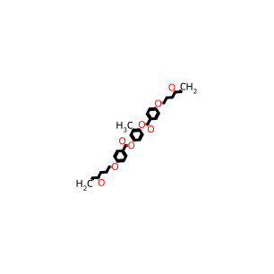 C=CC(=O)CCCOc1ccc(C(=O)Oc2ccc(OC(=O)c3ccc(OCCCC(=O)C=C)cc3)c(C)c2)cc1